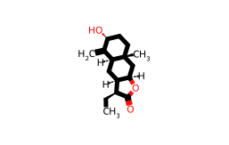 C=C1[C@H](O)CC[C@]2(C)C[C@H]3OC(=O)[C@@H](CC)[C@H]3C[C@@H]12